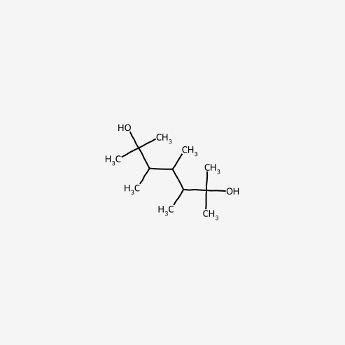 CC(C(C)C(C)(C)O)C(C)C(C)(C)O